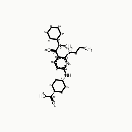 CCCSc1nc(N[C@H]2CC[C@H](C(=O)O)CC2)ccc1C(=O)N(C)C1CCCCC1